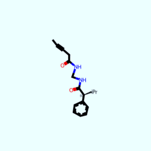 CC#CCC(=O)NCNC(=O)[C@H](c1ccccc1)C(C)C